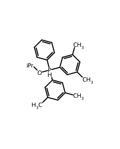 Cc1cc(C)cc([PH](OC(C)C)(c2ccccc2)c2cc(C)cc(C)c2)c1